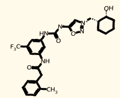 Cc1ccccc1CC(=O)Nc1cc(NC(=O)[N-]c2c[n+](C[C@H]3CCCC[C@H]3O)no2)cc(C(F)(F)F)c1